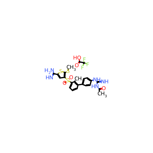 CSc1sc(C(=N)N)cc1S(=O)(=O)c1cccc(-c2ccc(NC(=N)NC(C)=O)cc2)c1C.O=C(O)C(F)(F)F